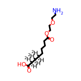 [2H]C([2H])(CCCCC(=O)OCCOCCN)C([2H])([2H])C([2H])([2H])C(=O)O